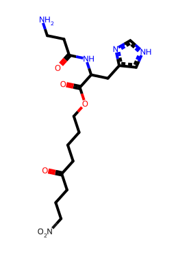 NCCC(=O)NC(Cc1c[nH]cn1)C(=O)OCCCCC(=O)CCC[N+](=O)[O-]